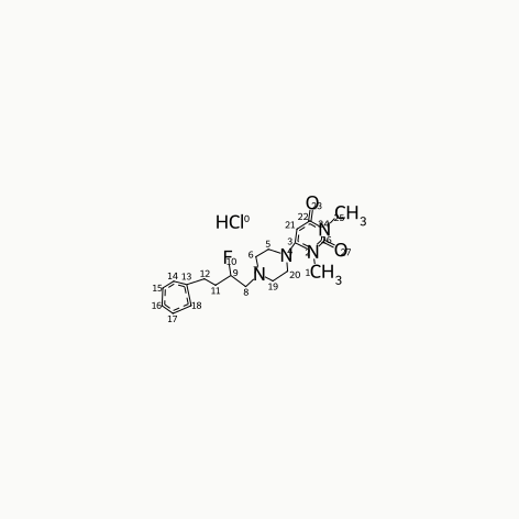 Cl.Cn1c(N2CCN(CC(F)CCc3ccccc3)CC2)cc(=O)n(C)c1=O